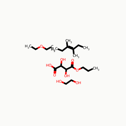 CC/C(C)=C(\C)CC.CCCOC(=O)C(O)C(O)C(=O)O.CCOCC.OCCO